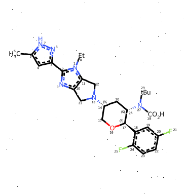 CCn1c(-c2cc(C)[nH]n2)nc2c1CN([C@H]1CO[C@H](c3cc(F)ccc3F)[C@@H](N(C(=O)O)C(C)(C)C)C1)C2